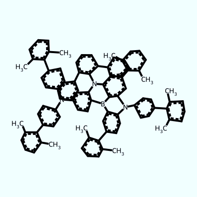 Cc1cccc(C)c1-c1ccc(N(c2ccc(-c3c(C)cccc3C)cc2)c2ccc3c(c2)N(c2c(-c4ccccc4)cccc2-c2ccccc2)c2cc(-c4c(C)cccc4C)cc4c2B3c2cc(-c3c(C)cccc3C)ccc2N4c2ccc(-c3c(C)cccc3C)cc2)cc1